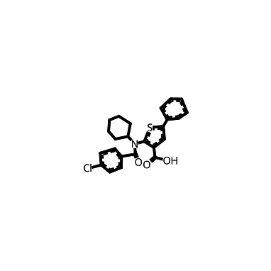 O=C(O)c1cc(-c2ccccc2)sc1N(C(=O)c1ccc(Cl)cc1)C1CCCCC1